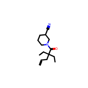 C=CCC(CC)(CC)C(=O)N1CCCC(C#N)C1